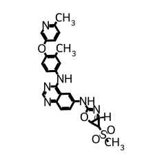 Cc1ccc(Oc2ccc(Nc3ncnc4ccc(NC5=N[C@H]6C(O5)C6S(C)(=O)=O)cc34)cc2C)cn1